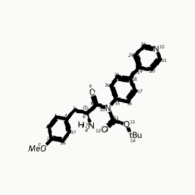 COc1ccc(C[C@H](N)C(=O)N(C(=O)OC(C)(C)C)c2ccc(-c3ccncc3)cc2)cc1